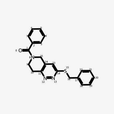 O=C(c1ccccc1)N1CCc2nnc(SCc3ccccc3)cc2C1